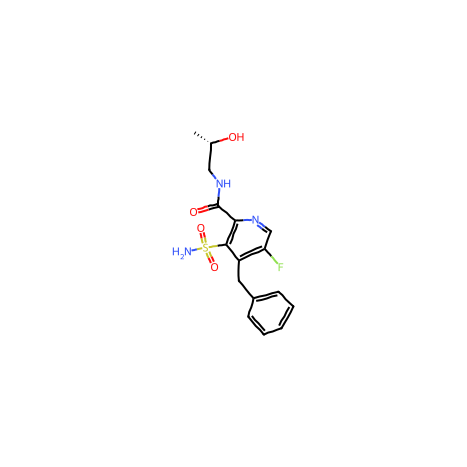 C[C@H](O)CNC(=O)c1ncc(F)c(Cc2ccccc2)c1S(N)(=O)=O